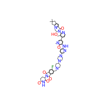 Cn1cc(-c2ccnc(N3CCn4c(cc5c4CC(C)(C)C5)C3=O)c2CO)cc(Nc2ccc(N3CCN(C4CCN(Cc5cc6c(cc5F)C(=O)N(C5CCC(=O)NC5=O)C6=O)CC4)CC3)cn2)c1=O